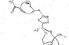 CC(=O)c1ccc(Sc2ncc([C@]3(C)COC(C)(C)O3)s2)cc1